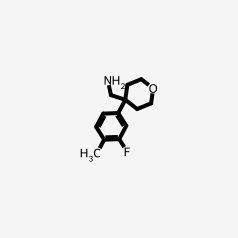 Cc1ccc(C2(CN)CCOCC2)cc1F